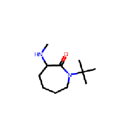 CNC1CCCCN(C(C)(C)C)C1=O